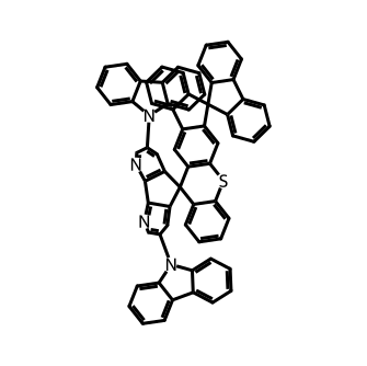 c1ccc2c(c1)Sc1cc3c(cc1C21c2cc(-n4c5ccccc5c5ccccc54)cnc2-c2ncc(-n4c5ccccc5c5ccccc54)cc21)-c1ccccc1C31c2ccccc2-c2ccccc21